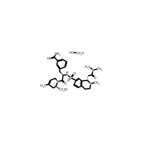 CCOC(=O)[C@H]1CC(C)=CCN1C(=O)[C@@H](Cc1cccc(C(=N)N)c1)NS(=O)(=O)c1ccc2c(c1)[C@H](CC(=O)N(C)C)N(C)CC2.O=C(O)O